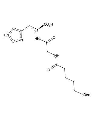 CCCCCCCCCCCCCCC(=O)NCC(=O)N[C@@H](Cc1c[nH]cn1)C(=O)O